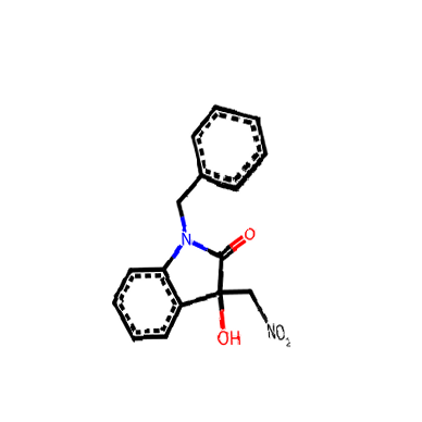 O=C1N(Cc2ccccc2)c2ccccc2C1(O)C[N+](=O)[O-]